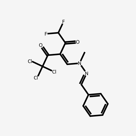 CN(/C=C(\C(=O)C(F)F)C(=O)C(Cl)(Cl)Cl)/N=C/c1ccccc1